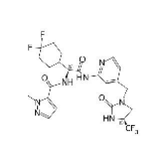 Cn1nccc1C(=O)N[C@H](C(=O)Nc1cc(CN2C[C@@H](C(F)(F)F)NC2=O)ccn1)C1CCC(F)(F)CC1